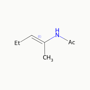 CC/C=C(\C)NC(C)=O